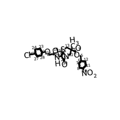 CC1(C(=O)OCc2ccc([N+](=O)[O-])cc2)CS[C@@H]2C(NC(=O)COc3ccc(Cl)cc3)C(=O)N2C1